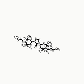 CCCCN1C(C)(C)CC(N2CCN(C3CC(C)(C)N(CCCC)C(C)(C)C3)C2=O)CC1(C)C